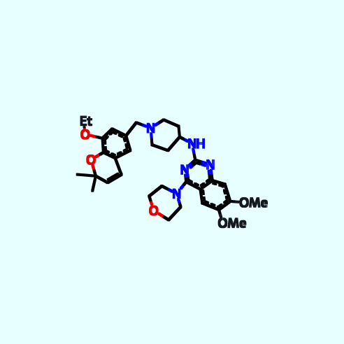 CCOc1cc(CN2CCC(Nc3nc(N4CCOCC4)c4cc(OC)c(OC)cc4n3)CC2)cc2c1OC(C)(C)C=C2